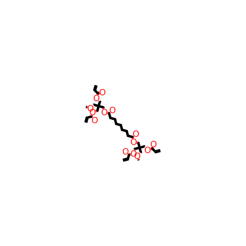 C=CC(=O)OCC(COC)(COC(=O)C=C)COC(=O)CCCCCCCC(=O)OCC(COC)(COC(=O)C=C)COC(=O)C=C